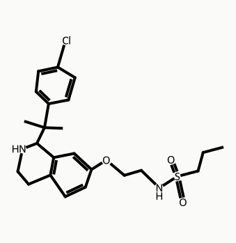 CCCS(=O)(=O)NCCOc1ccc2c(c1)C(C(C)(C)c1ccc(Cl)cc1)NCC2